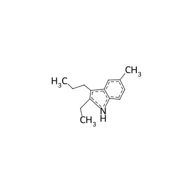 CCCc1c(CC)[nH]c2ccc(C)cc12